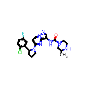 CC1CN(C(=O)Nc2cnn3ccc(N4CCCC4c4cc(F)ccc4Cl)nc23)CCN1